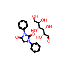 O=C1CN(c2ccccc2)C(=O)N1c1ccccc1.O=C[C@H](O)[C@@H](O)[C@H](O)[C@H](O)CO